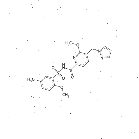 COc1ccc(C)cc1S(=O)(=O)NC(=O)c1ccc(Cn2cccn2)c(OC)n1